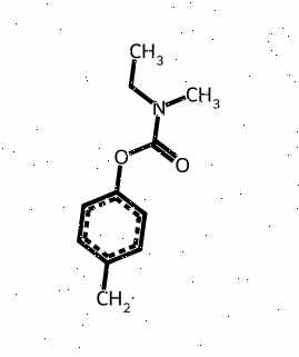 [CH2]c1ccc(OC(=O)N(C)CC)cc1